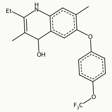 CCC1=C(C)C(O)c2cc(Oc3ccc(OC(F)(F)F)cc3)c(C)cc2N1